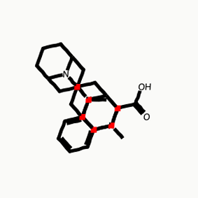 CN(CC(=O)O)c1ccccc1N(C)C1CC2CCCC(C1)N2C1CC2CCCC(C2)C1